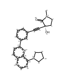 CN1CC[C@@](O)(C#Cc2cccc(-c3ccc4ncnc(N5CCCC5)c4n3)c2)C1=O